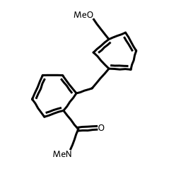 CNC(=O)c1ccccc1Cc1cccc(OC)c1